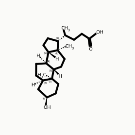 CC(CCC(=O)O)[C@H]1CC[C@H]2[C@@H]3CC[C@@H]4C[C@H](O)CC[C@]4(C)[C@H]3CC[C@]12C